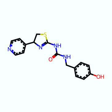 O=C(NCc1ccc(O)cc1)NC1=NC(c2ccncc2)CS1